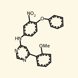 COc1ccccc1-c1cc(Nc2ccc(Oc3ccccc3)c([N+](=O)[O-])c2)ncn1